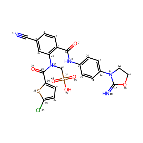 N#Cc1ccc(C(=O)Nc2ccc(N3CCOC3=N)cc2)c(N(CS(=O)(=O)O)C(=O)c2ccc(Cl)s2)c1